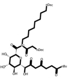 CCCCCCCCCCCCCCCCCC[N+](C(=O)CCCCCCCCCCC)C(=O)[C@@H]1O[C@H](C(O)C(=O)CC(=O)CCC(=O)CCCC)[C@@H](O)[C@H](O)[C@@H]1O